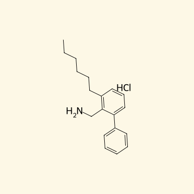 CCCCCCc1cccc(-c2ccccc2)c1CN.Cl